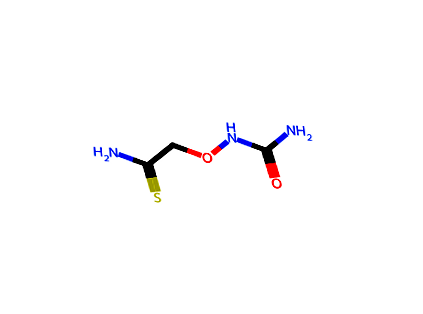 NC(=O)NOCC(N)=S